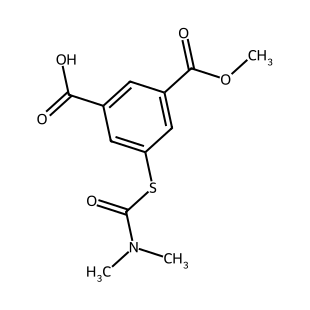 COC(=O)c1cc(SC(=O)N(C)C)cc(C(=O)O)c1